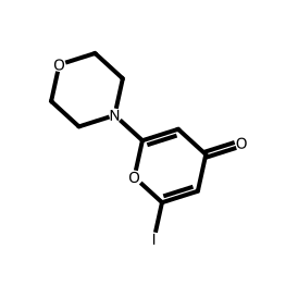 O=c1cc(I)oc(N2CCOCC2)c1